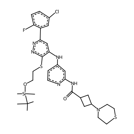 CC(C)(C)[Si](C)(C)OCCSc1nnc(-c2cc(Cl)ccc2F)cc1Nc1ccnc(NC(=O)C2CC(N3CCSCC3)C2)c1